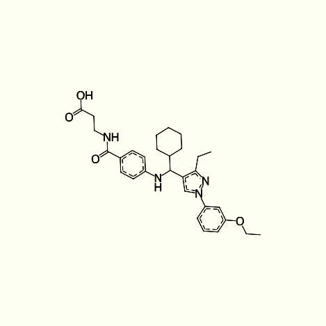 CCOc1cccc(-n2cc(C(Nc3ccc(C(=O)NCCC(=O)O)cc3)C3CCCCC3)c(CC)n2)c1